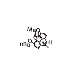 CCCCOc1ccc2c3c1O[C@@H]1[C@]34CCN(C)[C@H](C2)[C@]42C=C[C@@]1(OC)C(C(C)=O)C2